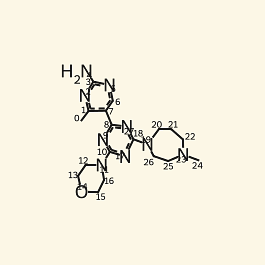 Cc1nc(N)ncc1-c1nc(N2CCOCC2)nc(N2CCCN(C)CC2)n1